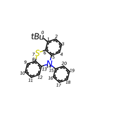 CC(C)(C)c1cccc2c1Sc1ccccc1N2c1ccccc1